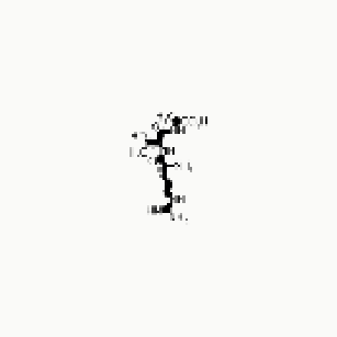 C[C@H](NC(=O)[C@@H](NC(=O)[C@@H](N)CCCNC(=N)N)[C@@H](C)O)C(=O)O